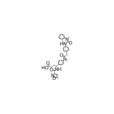 Cc1cc(C(=O)NC(CCC(=O)O)c2ccc(N(C)C(=O)Cc3ccc(NC(=O)N(C)c4ccccc4C)cc3)cc2)no1